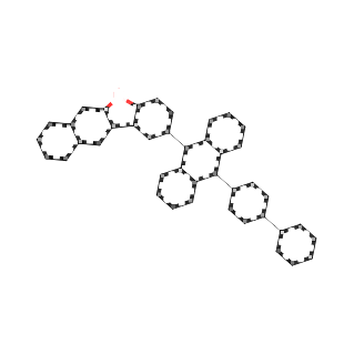 c1ccc(-c2ccc(-c3c4ccccc4c(-c4ccc5oc6cc7ccccc7cc6c5c4)c4ccccc34)cc2)cc1